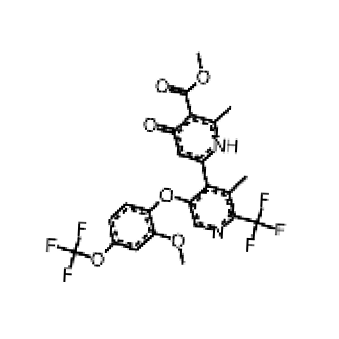 COC(=O)c1c(C)[nH]c(-c2c(Oc3ccc(OC(F)(F)F)cc3OC)cnc(C(F)(F)F)c2C)cc1=O